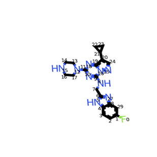 Fc1ccc2[nH]c(CNc3nc(N4CCNCC4)nc4c(C5CC5)cnn34)nc2c1